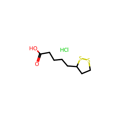 Cl.O=C(O)CCCCC1CCSS1